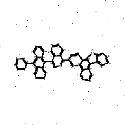 c1ccc(-c2c3ccccc3c(-c3ccc(-c4ccc5c(c4)c4ccccc4c4c6ccccc6oc54)c4ccccc34)c3ccccc23)cc1